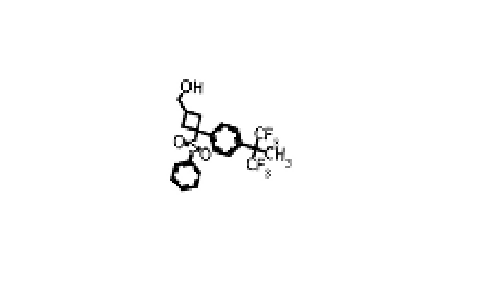 CC(c1ccc(C2(S(=O)(=O)c3ccccc3)CC(CO)C2)cc1)(C(F)(F)F)C(F)(F)F